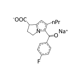 CCCc1cc2n(c1C(=O)c1ccc(F)cc1)CCC2C(=O)[O-].[Na+]